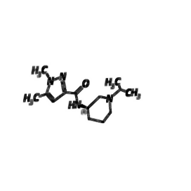 Cc1cc(C(=O)N[C@@H]2CCCN(C(C)C)C2)nn1C